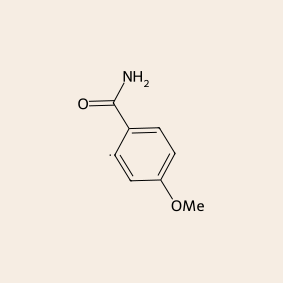 COc1c[c]c(C(N)=O)cc1